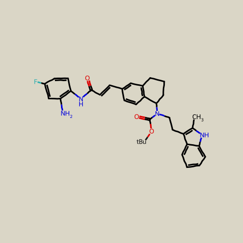 Cc1[nH]c2ccccc2c1CCN(C(=O)OC(C)(C)C)C1CCCc2cc(/C=C/C(=O)Nc3ccc(F)cc3N)ccc21